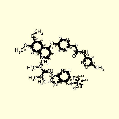 CN(C)C(=[O+]n1nnc2cccnc21)N(C)C.COc1cc2nccc(Oc3cnc(CC(=O)Nc4cc(C)on4)nc3)c2cc1OC.F[P-](F)(F)(F)(F)F